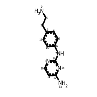 NCCc1ccc(Nc2nccc(N)n2)cc1